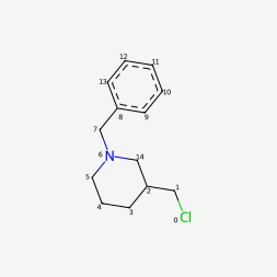 ClCC1CCCN(Cc2ccccc2)C1